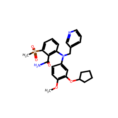 COc1ccc(N(Cc2cccnc2)c2cccc(S(C)(=O)=O)c2C(N)=O)cc1OC1CCCC1